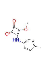 COc1c(Nc2ccc(C)cc2)c(=O)c1=O